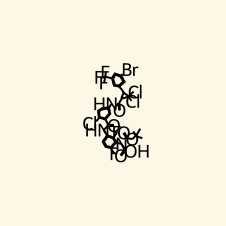 CC(C)(C)OC(=O)N(C(=O)O)c1c(F)ccc(NC(=O)c2cc(NC(=O)C3C(c4cc(Br)cc(C(F)(F)F)c4)C3(Cl)Cl)ccc2Cl)c1F